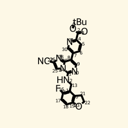 CC(C)(C)OC(=O)c1ccc(-c2cnc(NCc3c(F)ccc4c3CCO4)n3cc(C#N)nc23)cn1